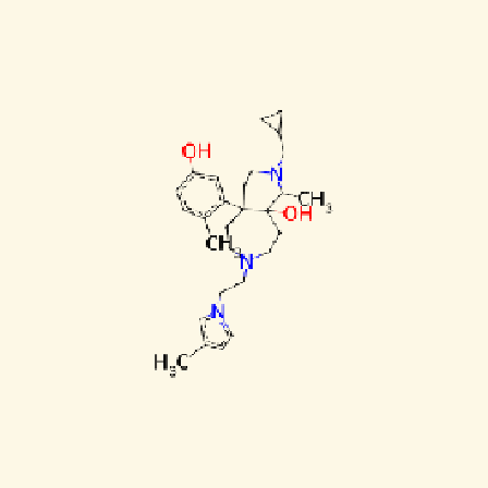 Cc1ccn(CCN2CCC3(c4cc(O)ccc4C)CCN(CC4CC4)C(C)C3(O)CC2)c1